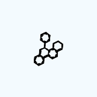 [c]1ccc(C2C=c3ccccc3=c3ccc4c(c32)CCCC=4)cc1